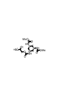 CCCCC(CC)COC(=O)NN1CN(NC(=O)OC)CN(NC(=O)OC)C1